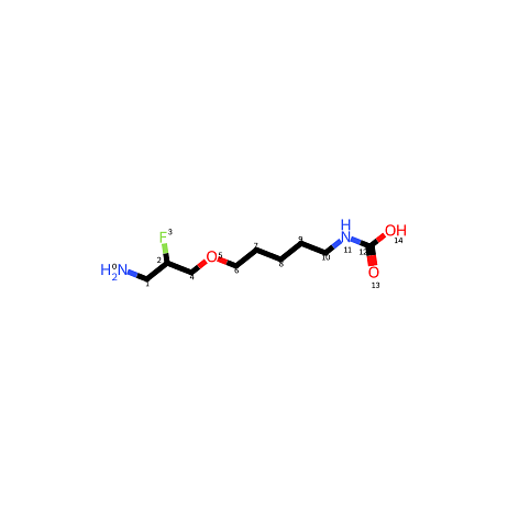 NCC(F)COCCCCCNC(=O)O